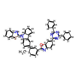 C[C@H]1C=CC=C(c2nc3ccc(-c4nc(-c5ccccc5)nc(-c5ccccc5)n4)cc3o2)C=C1c1ccc2c(c1)c1ccccc1n2-c1nc2ccccc2s1